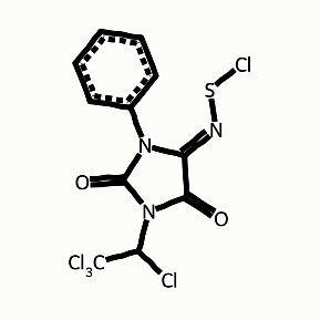 O=C1/C(=N/SCl)N(c2ccccc2)C(=O)N1C(Cl)C(Cl)(Cl)Cl